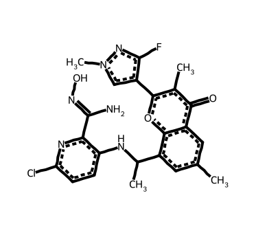 Cc1cc(C(C)Nc2ccc(Cl)nc2C(N)=NO)c2oc(-c3cn(C)nc3F)c(C)c(=O)c2c1